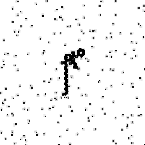 C=CC(=O)OC1(C(=O)OC2CCCCC2)CCCC(C(=O)OCCCCCCCCCCC(C)C)C1